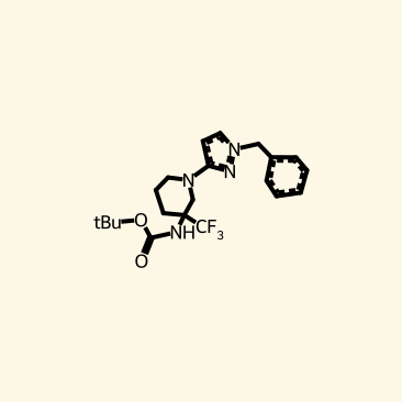 CC(C)(C)OC(=O)NC1(C(F)(F)F)CCCN(c2ccn(Cc3ccccc3)n2)C1